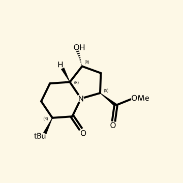 COC(=O)[C@@H]1C[C@@H](O)[C@H]2CC[C@H](C(C)(C)C)C(=O)N21